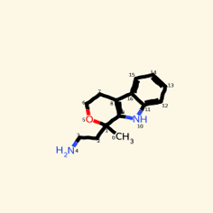 CC1(CCN)OCCc2c1[nH]c1ccccc21